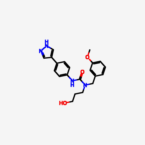 COc1cccc(CN(CCCO)C(=O)Nc2ccc(-c3cn[nH]c3)cc2)c1